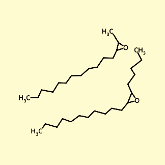 CCCCCCCCCCCC1OC1CCCCC.CCCCCCCCCCCCC1OC1C